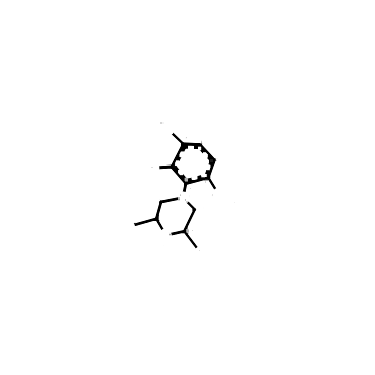 CC1CN(c2c(C(=O)O)ccc(F)c2F)CC(C)O1